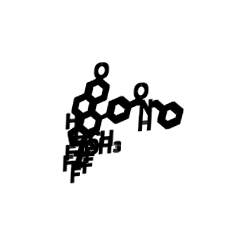 C[C@]12C[C@H](c3ccc(C(=O)NCc4ccccc4)cc3)C3=C4CCC(=O)C=C4CC[C@H]3[C@@H]1CC[C@@]2(O)C(F)(F)C(F)(F)F